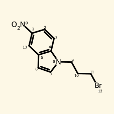 O=[N+]([O-])c1ccc2c(ccn2CCCBr)c1